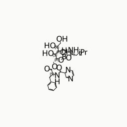 CC(C)C[C@H](N)OBO[C@H](COC(=O)[C@H](Cc1ccccc1)NC(=O)c1cnccn1)[C@@H](O)[C@H](O)[C@H](O)CO